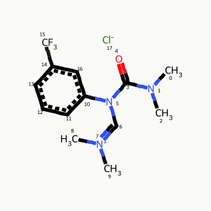 CN(C)C(=O)N(C=[N+](C)C)c1cccc(C(F)(F)F)c1.[Cl-]